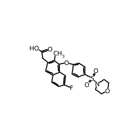 Cc1c(CC(=O)O)cc2ccc(F)cc2c1Oc1ccc(S(=O)(=O)N2CCOCC2)cc1